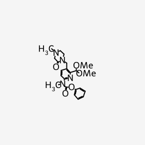 COC(OC)c1nc(N(C)C(=O)Oc2ccccc2)ccc1CN1CCN(C)CC1=O